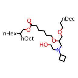 CCCCCCCCCCCCOCC(CN(CCO)C1CCC1)OCCCCCC(=O)OCC(CCCCCC)CCCCCCCC